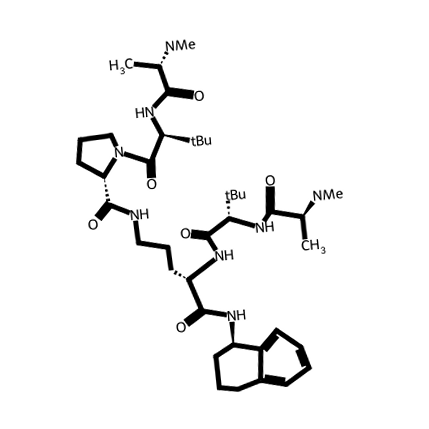 CN[C@@H](C)C(=O)N[C@H](C(=O)N[C@@H](CCCNC(=O)[C@@H]1CCCN1C(=O)[C@@H](NC(=O)[C@H](C)NC)C(C)(C)C)C(=O)N[C@@H]1CCCc2ccccc21)C(C)(C)C